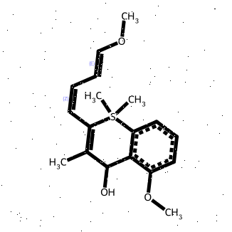 CO/C=C/C=C\C1=C(C)C(O)c2c(OC)cccc2S1(C)C